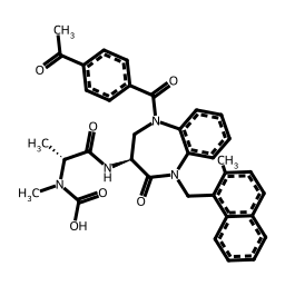 CC(=O)c1ccc(C(=O)N2C[C@H](NC(=O)[C@@H](C)N(C)C(=O)O)C(=O)N(Cc3c(C)ccc4ccccc34)c3ccccc32)cc1